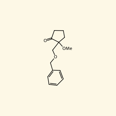 COC1(COCc2ccccc2)CCCC1=O